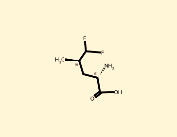 C[C@H](C[C@H](N)C(=O)O)C(F)F